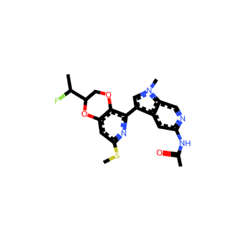 CSc1cc2c(c(-c3cn(C)c4cnc(NC(C)=O)cc34)n1)OCC(C(C)F)O2